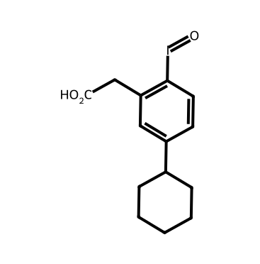 O=Ic1ccc(C2CCCCC2)cc1CC(=O)O